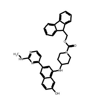 CNc1nccc(-c2cc(NC3CCN(C(=O)OCC4c5ccccc5-c5ccccc54)CC3)c3cc(O)ccc3c2)n1